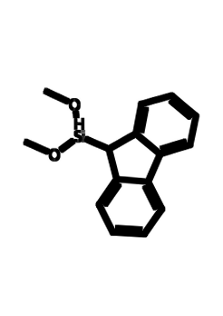 CO[SiH](OC)C1c2ccccc2-c2ccccc21